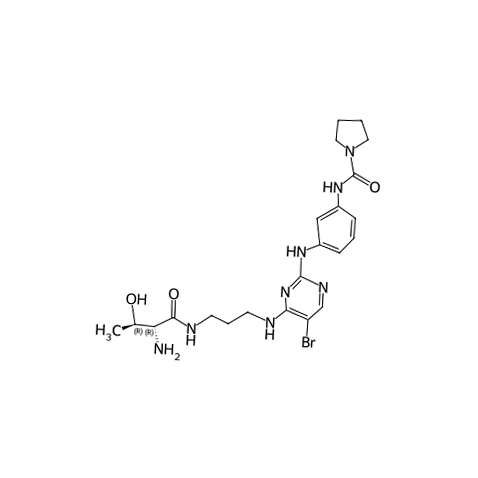 C[C@@H](O)[C@@H](N)C(=O)NCCCNc1nc(Nc2cccc(NC(=O)N3CCCC3)c2)ncc1Br